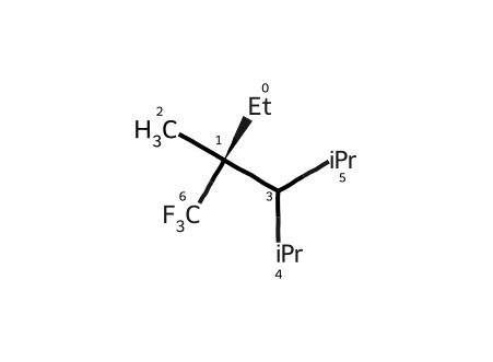 CC[C@@](C)(C(C(C)C)C(C)C)C(F)(F)F